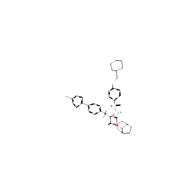 CC(C)(C)OC(=O)NC1C2CCC1CN(C(=O)C(NS(=O)(=O)c1ccc(OCC3CCCCC3)cc1)C(F)(F)c1ccc(-c3ccc(Cl)cc3)cc1)C2